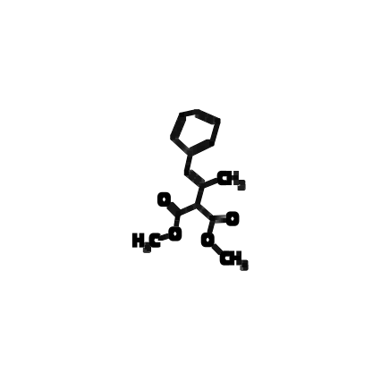 COC(=O)C(C(=O)OC)C(C)=Cc1ccccc1